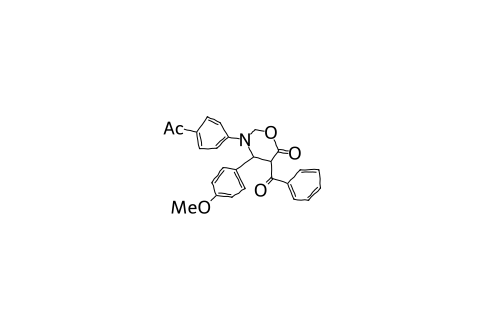 COc1ccc(C2C(C(=O)c3ccccc3)C(=O)OCN2c2ccc(C(C)=O)cc2)cc1